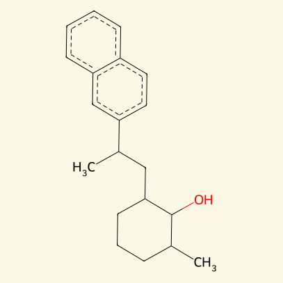 CC(CC1CCCC(C)C1O)c1ccc2ccccc2c1